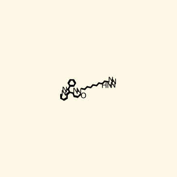 O=c1ccc(-c2c(-c3ccccc3)nn3ccccc23)nn1CCCCCCCCCc1nnn[nH]1